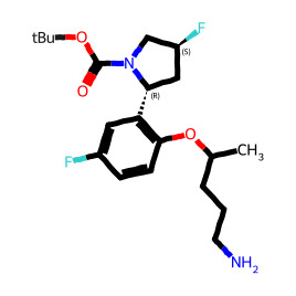 CC(CCCN)Oc1ccc(F)cc1[C@H]1C[C@H](F)CN1C(=O)OC(C)(C)C